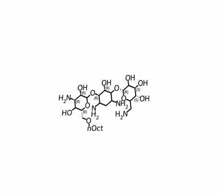 CCCCCCCCOC[C@H]1OC(O[C@@H]2C(N)CC(N)C(O[C@H]3OC(CN)[C@@H](O)[C@H](O)C3O)[C@@H]2O)[C@H](O)[C@H](N)C1O